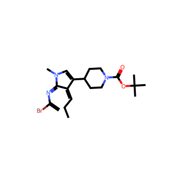 C=C(Br)/N=C1\C(=C/CC)C(C2CCN(C(=O)OC(C)(C)C)CC2)=CN1C